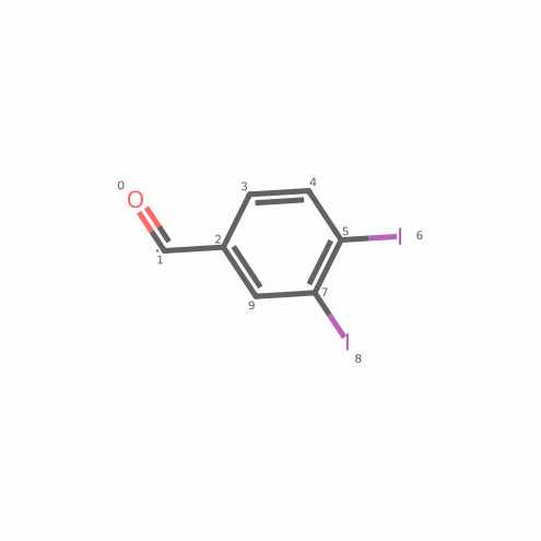 O=[C]c1ccc(I)c(I)c1